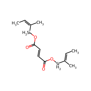 CC=C(C)[SiH2]OC(=O)C=CC(=O)O[SiH2]C(C)=CC